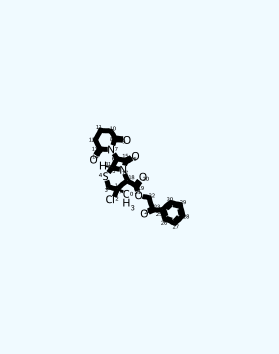 C[C@@]1(Cl)CS[C@H]2C(N3C(=O)CCCC3=O)C(=O)N2C1C(=O)OCC(=O)c1ccccc1